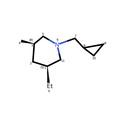 CC[C@H]1C[C@@H](C)CN(CC2CC2)C1